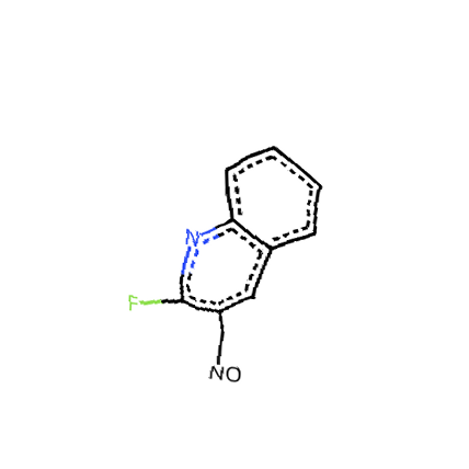 O=Nc1cc2ccccc2nc1F